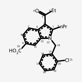 CCCc1c(C(=O)CC)c2ccc(C(=O)O)cc2n1Cc1ccccc1Cl